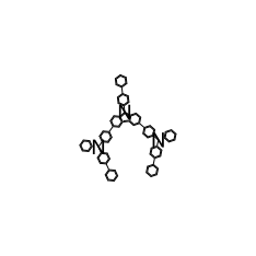 c1ccc(-c2ccc(N(c3ccccc3)c3ccc(-c4ccc5c(c4)c4cc(-c6ccc(N(c7ccccc7)c7ccc(-c8ccccc8)cc7)cc6)ccc4n5-c4ccc(-c5ccccc5)cc4)cc3)cc2)cc1